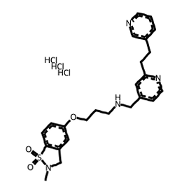 CN1Cc2cc(OCCCNCc3ccnc(CCc4cccnc4)c3)ccc2S1(=O)=O.Cl.Cl.Cl